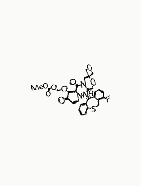 COC(=O)OCOc1c2n(ccc1=O)N([C@@H]1c3ccccc3SCc3c(F)cccc31)[C@@H]1COC3(COC3)CN1C2=O